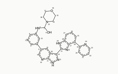 OC(Nc1cncc(-c2cnc3[nH]nc(-c4nc5c(-c6ccccn6)cccc5[nH]4)c3c2)c1)N1CCOCC1